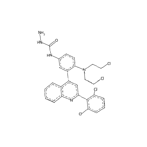 NNC(=O)Nc1ccc(N(CCCl)CCCl)c(-c2cc(-c3c(Cl)cccc3Cl)nc3ccccc23)c1